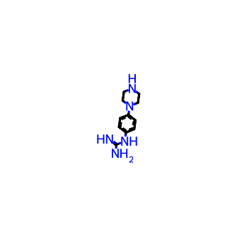 N=C(N)Nc1ccc(N2CCNCC2)cc1